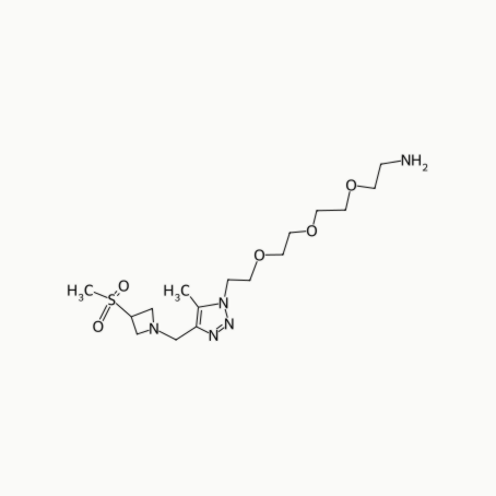 Cc1c(CN2CC(S(C)(=O)=O)C2)nnn1CCOCCOCCOCCN